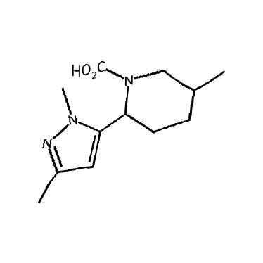 Cc1cc(C2CCC(C)CN2C(=O)O)n(C)n1